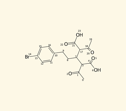 CC(=O)C(C(=O)O)C(CCc1ccc(Br)cc1)C(C(C)=O)C(=O)O